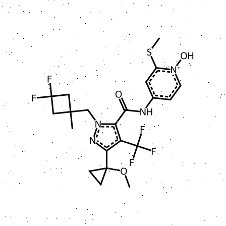 COC1(c2nn(CC3(C)CC(F)(F)C3)c(C(=O)Nc3cc[n+](O)c(SC)c3)c2C(F)(F)F)CC1